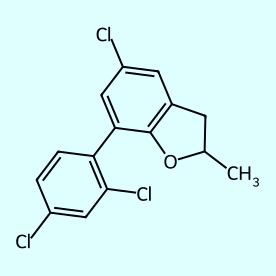 CC1Cc2cc(Cl)cc(-c3ccc(Cl)cc3Cl)c2O1